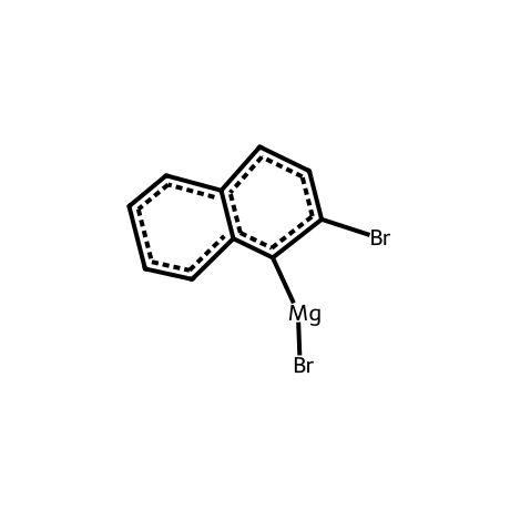 [Br][Mg][c]1c(Br)ccc2ccccc12